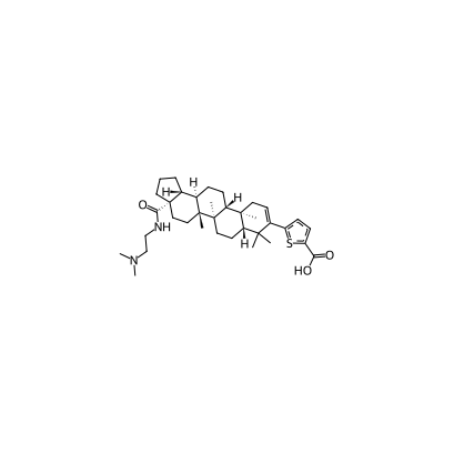 CN(C)CCNC(=O)[C@]12CCC[C@@H]1[C@H]1CC[C@@H]3[C@@]4(C)CC=C(c5ccc(C(=O)O)s5)C(C)(C)[C@@H]4CC[C@@]3(C)[C@]1(C)CC2